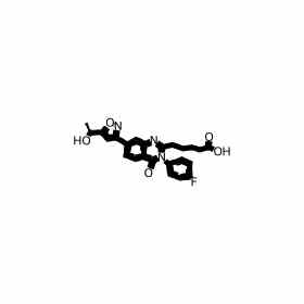 C[C@H](O)c1cc(-c2ccc3c(=O)n(-c4ccc(F)cc4)c(CCCCC(=O)O)nc3c2)no1